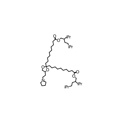 CC(C)CCC(COC(=O)CCCCCCCCCC1(CCCCCCCCCC(=O)OCC(CCC(C)C)C(C)C)OCC(CCN2CCCC2)O1)C(C)C